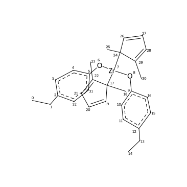 CCc1ccc([O][Zr]([O]c2ccc(CC)cc2)([C]2(C)C=CC=C2C)[C]2(C)C=CC=C2C)cc1